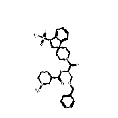 CN1CCCC(C(=O)N[C@H](COCc2ccccc2)C(=O)N2CCC3(CC2)CN(S(C)(=O)=O)c2ccccc23)C1